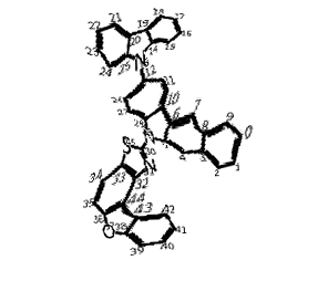 c1ccc2cc3c(cc2c1)c1cc(-n2c4ccccc4c4ccccc42)ccc1n3-c1nc2c(ccc3oc4ccccc4c32)s1